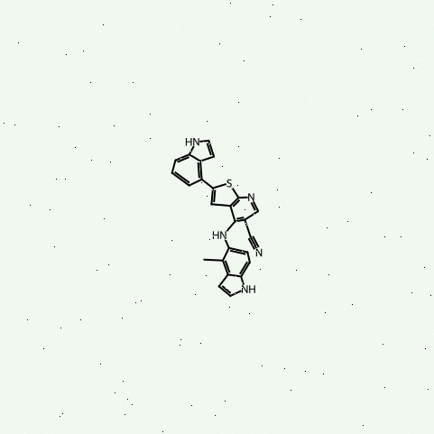 Cc1c(Nc2c(C#N)cnc3sc(-c4cccc5[nH]ccc45)cc23)ccc2[nH]ccc12